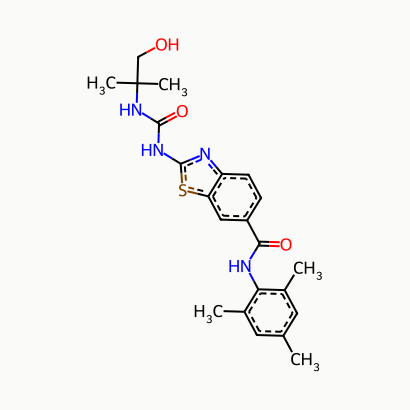 Cc1cc(C)c(NC(=O)c2ccc3nc(NC(=O)NC(C)(C)CO)sc3c2)c(C)c1